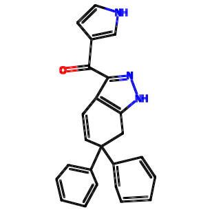 O=C(c1cc[nH]c1)c1n[nH]c2c1C=CC(c1ccccc1)(c1ccccc1)C2